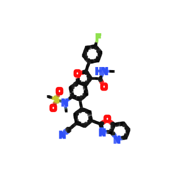 CNC(=O)c1c(-c2ccc(F)cc2)oc2cc(N(C)S(C)(=O)=O)c(-c3cc(C#N)cc(-c4nc5ncccc5o4)c3)cc12